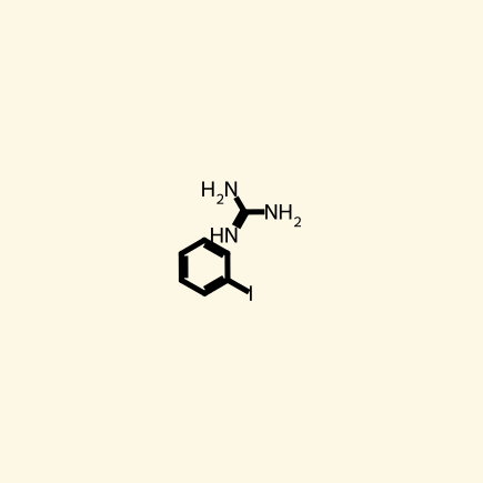 Ic1ccccc1.N=C(N)N